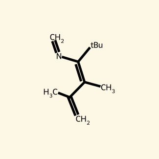 C=N/C(=C(/C)C(=C)C)C(C)(C)C